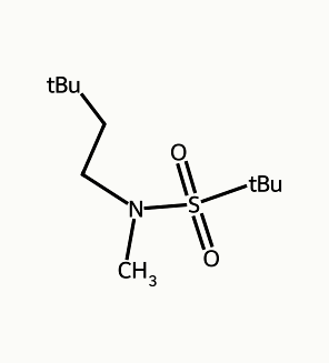 CN(CCC(C)(C)C)S(=O)(=O)C(C)(C)C